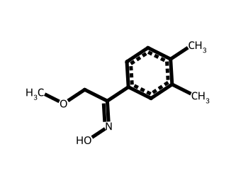 COCC(=NO)c1ccc(C)c(C)c1